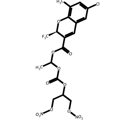 Cc1cc(Cl)cc2c1O[C@H](C(F)(F)F)C(C(=O)OC(C)OC(=O)OC(CO[N+](=O)[O-])CO[N+](=O)[O-])=C2